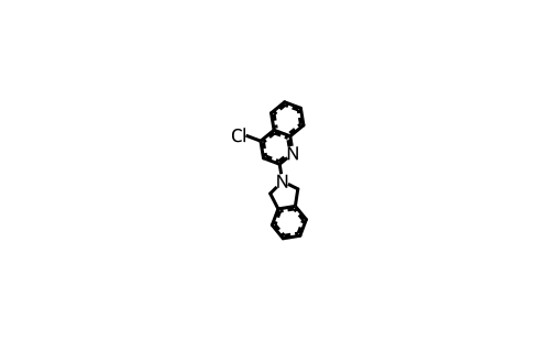 Clc1cc(N2Cc3ccccc3C2)nc2ccccc12